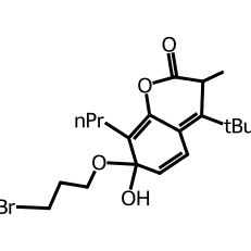 CCCC1=C2OC(=O)C(C)C(C(C)(C)C)=C2C=CC1(O)OCCCBr